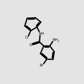 Nc1ccc(Br)cc1C(=O)Nc1ccccc1Cl